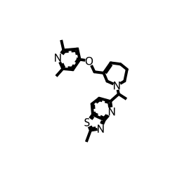 Cc1cc(OCC2=CCCCN(C(C)c3ccc4sc(C)nc4n3)C2)cc(C)n1